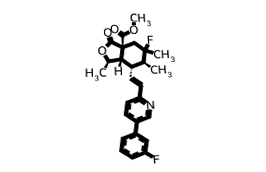 COC(=O)[C@@]12CC(C)(F)[C@@H](C)[C@H](/C=C/c3ccc(-c4cccc(F)c4)cn3)[C@@H]1[C@@H](C)OC2=O